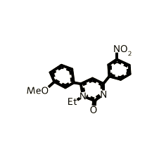 CCn1c(-c2cccc(OC)c2)cc(-c2cccc([N+](=O)[O-])c2)nc1=O